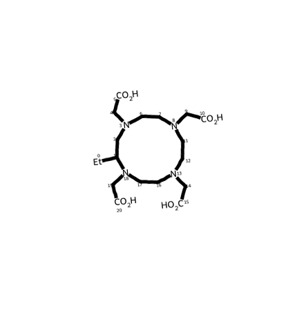 CCC1CN(CC(=O)O)CCN(CC(=O)O)CCN(CC(=O)O)CCN1CC(=O)O